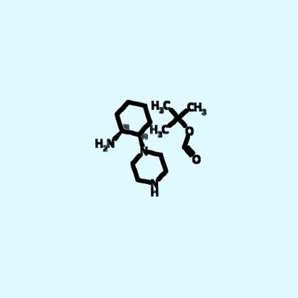 CC(C)(C)OC=O.N[C@H]1CCCC[C@H]1N1CCNCC1